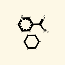 C1CCCCC1.NC(=O)c1cccnc1